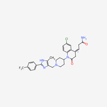 Cc1[nH]c(-c2ccc(C(F)(F)F)cc2)nc1CN1CCC(N2C(=O)C/C(=C/CC(N)=O)c3cc(Cl)ccc32)CC1